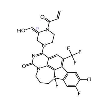 C=CC(=O)N1CCN(c2nc(=O)n3c4c5c(c(C(F)(F)F)cc24)-c2cc(Cl)c(F)cc2S5(F)CCC3)C/C1=C\O